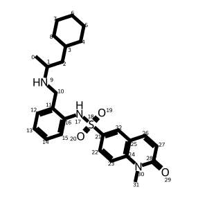 CC(CC1CCCCC1)NCc1ccccc1NS(=O)(=O)c1ccc2c(ccc(=O)n2C)c1